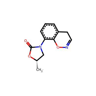 [CH2][C@H]1CN(c2cccc3c2ON=CC3)C(=O)O1